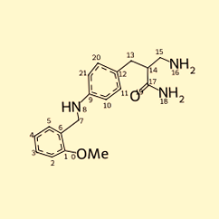 COc1ccccc1CNc1ccc(CC(CN)C(N)=O)cc1